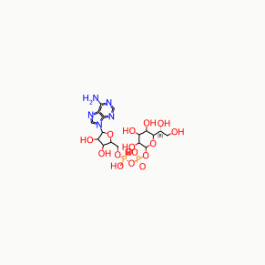 Nc1ncnc2c1ncn2C1OC(COP(=O)(O)OP(=O)(O)OC2OC([C@H](O)CO)C(O)C(O)C2O)C(O)C1O